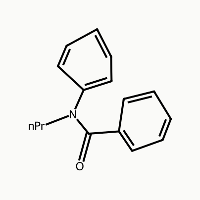 [CH2]CCN(C(=O)c1ccccc1)c1ccccc1